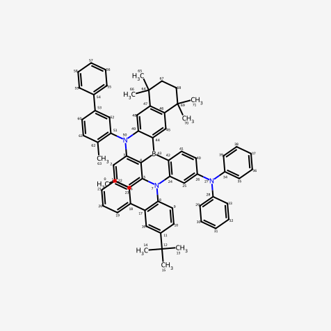 Cc1cc2c3c(c1)N(c1ccc(C(C)(C)C)cc1-c1ccccc1)c1cc(N(c4ccccc4)c4ccccc4)ccc1B3c1cc3c(cc1N2c1cc(-c2ccccc2)ccc1C)C(C)(C)CCC3(C)C